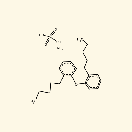 CCCCCc1ccccc1Oc1ccccc1CCCCC.N.O=S(=O)(O)O